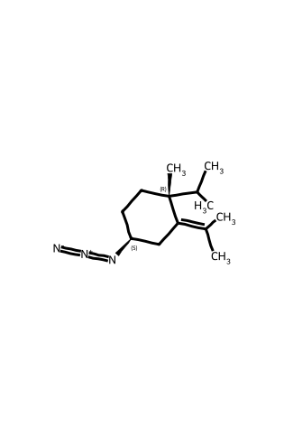 CC(C)=C1C[C@@H](N=[N+]=[N-])CC[C@]1(C)C(C)C